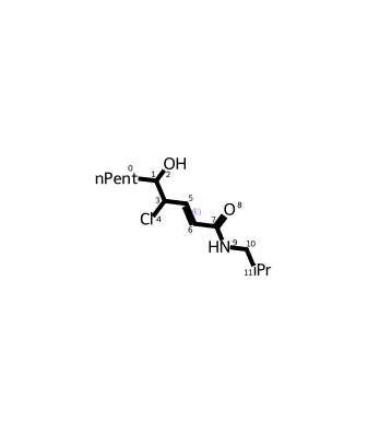 CCCCCC(O)C(Cl)/C=C/C(=O)NCC(C)C